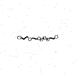 ClCCOCCOOOOCCCl